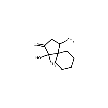 CC1CC(=O)C(C)(O)C12CCCCC2